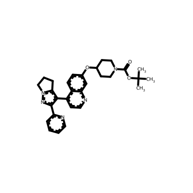 CC(C)(C)OC(=O)N1CCC(Oc2ccc3c(-c4c(-c5ccccn5)nn5c4CCC5)ccnc3c2)CC1